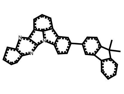 CC1(C)c2ccccc2-c2cc(-c3ccc4c(c3)c3cccc5c6nc7ccccc7nc6n4c35)ccc21